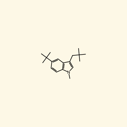 Cn1cc(CC(C)(C)C)c2cc(C(C)(C)C)ccc21